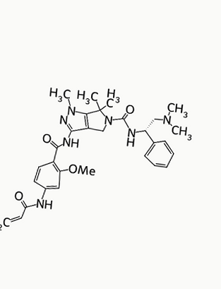 C=CC(=O)Nc1ccc(C(=O)Nc2nn(C)c3c2CN(C(=O)N[C@H](CN(C)C)c2ccccc2)C3(C)C)c(OC)c1